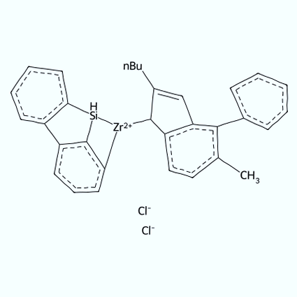 CCCCC1=Cc2c(ccc(C)c2-c2ccccc2)[CH]1[Zr+2]1[c]2cccc3c2[SiH]1c1ccccc1-3.[Cl-].[Cl-]